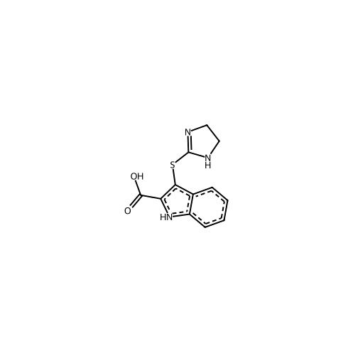 O=C(O)c1[nH]c2ccccc2c1SC1=NCCN1